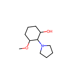 COC1CCCC(O)C1N1CCCC1